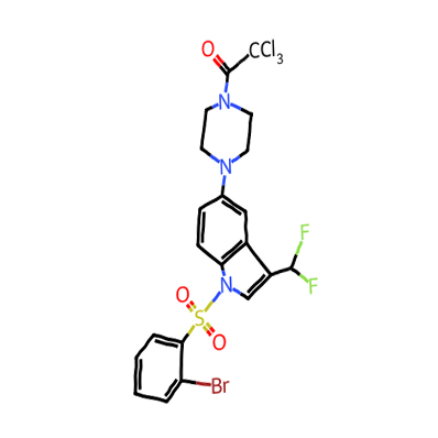 O=C(N1CCN(c2ccc3c(c2)c(C(F)F)cn3S(=O)(=O)c2ccccc2Br)CC1)C(Cl)(Cl)Cl